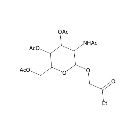 CCC(=O)COC1OC(COC(C)=O)C(OC(C)=O)C(OC(C)=O)C1NC(C)=O